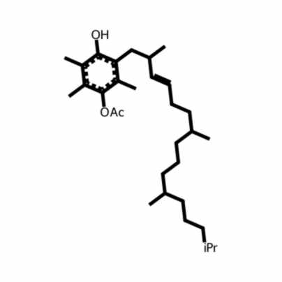 CC(=O)Oc1c(C)c(C)c(O)c(CC(C)C=CCCC(C)CCCC(C)CCCC(C)C)c1C